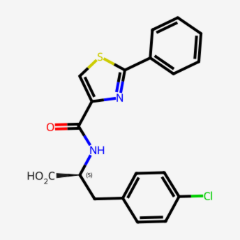 O=C(N[C@@H](Cc1ccc(Cl)cc1)C(=O)O)c1csc(-c2ccccc2)n1